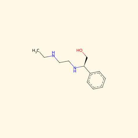 CCNCCN[C@@H](CO)c1ccccc1